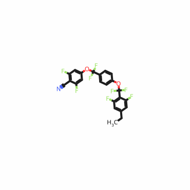 CCc1cc(F)c(C(F)(F)Oc2ccc(C(F)(F)Oc3cc(F)c(C#N)c(F)c3)cc2)c(F)c1